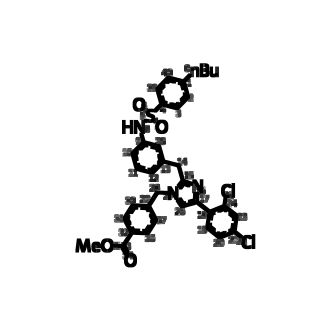 CCCCc1ccc(S(=O)(=O)Nc2cccc(Cc3nc(-c4ccc(Cl)cc4Cl)cn3Cc3ccc(C(=O)OC)cc3)c2)cc1